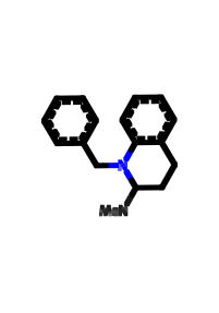 CNC1CCc2ccccc2N1Cc1ccccc1